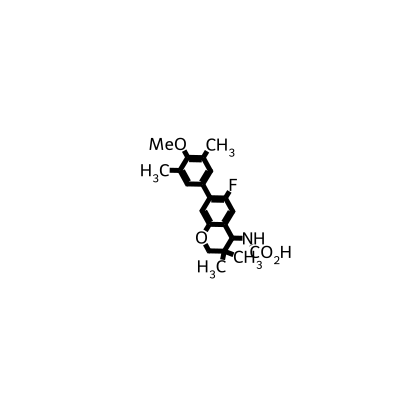 COc1c(C)cc(-c2cc3c(cc2F)C(NC(=O)O)C(C)(C)CO3)cc1C